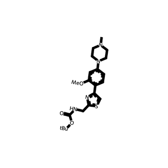 COc1cc(N2CCN(C)CC2)ccc1-c1csc(CNC(=O)OC(C)(C)C)n1